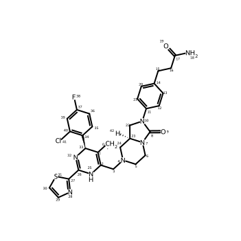 [CH2]C1=C(CN2CCN3C(=O)N(c4ccc(CCC(N)=O)cc4)C[C@@H]3C2)NC(c2nccs2)=N[C@H]1c1ccc(F)cc1Cl